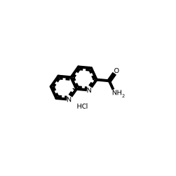 Cl.NC(=O)c1ccc2cccnc2n1